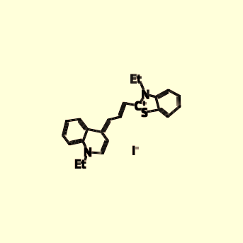 CCN1C=CC(=CC=C[c+]2sc3ccccc3n2CC)c2ccccc21.[I-]